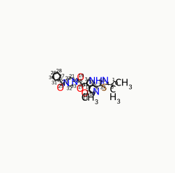 CCC(C)c1ncc(-c2ncc(OC)c3c(C(=O)C(=O)N4CCN(C(=O)c5ccccc5)CC4)c[nH]c23)s1